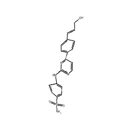 NS(=O)(=O)c1ccc(Nc2nccc(-c3ccc(C=CCO)cc3)n2)cc1